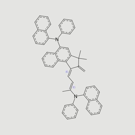 C=C1/C(=C\C=C(/C)N(c2ccccc2)c2cccc3ccccc23)c2c(cc(N(c3ccccc3)c3cccc4ccccc34)c3ccccc23)C1(C)C